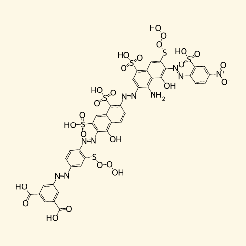 Nc1c(N=Nc2ccc3c(O)c(N=Nc4ccc(N=Nc5cc(C(=O)O)cc(C(=O)O)c5)cc4SOOO)c(S(=O)(=O)O)cc3c2S(=O)(=O)O)cc(S(=O)(=O)O)c2cc(SOOO)c(N=Nc3ccc([N+](=O)[O-])cc3S(=O)(=O)O)c(O)c12